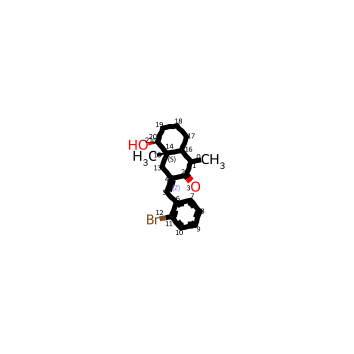 CC1C(=O)/C(=C\c2ccccc2Br)C[C@@]2(C)C1CCC[C@@H]2O